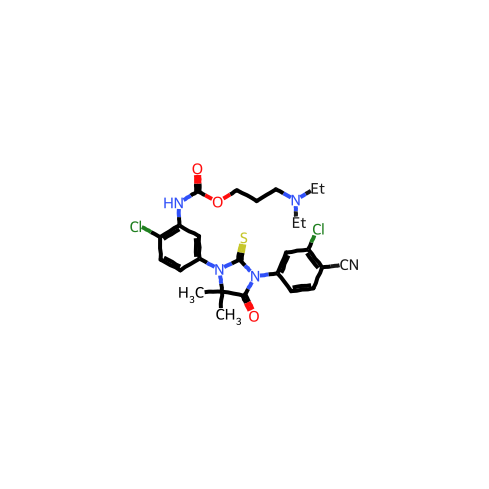 CCN(CC)CCCOC(=O)Nc1cc(N2C(=S)N(c3ccc(C#N)c(Cl)c3)C(=O)C2(C)C)ccc1Cl